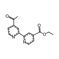 CCOC(=O)c1ccnc(-c2cc(C(C)=O)ccn2)c1